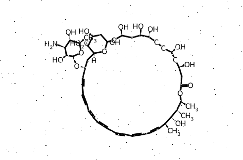 C[C@@H]1[C@H](O)[C@@H](C)\C=C/C=C\C=C/C=C\C=C/C=C\C=C/[C@H](O[C@@H]2O[C@H](C)[C@@H](O)[C@H](N)[C@@H]2O)C[C@@H]2O[C@](O)(C[C@@H](O)C[C@@H](O)[C@H](O)CC[C@@H](O)C[C@@H](O)CC(=O)O[C@H]1C)C[C@H](O)[C@H]2C(=O)O